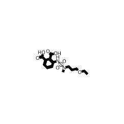 CCOCCCN(C)S(=O)(=O)Nc1cccc(C(=O)O)c1C(=O)O